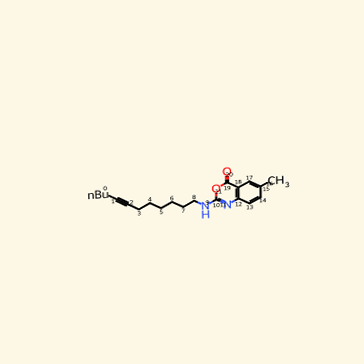 CCCCC#CCCCCCCNc1nc2ccc(C)cc2c(=O)o1